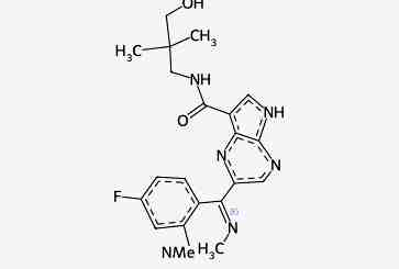 C/N=C(/c1cnc2[nH]cc(C(=O)NCC(C)(C)CO)c2n1)c1ccc(F)cc1NC